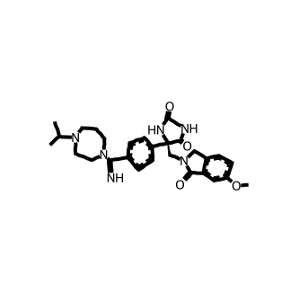 COc1ccc2c(c1)C(=O)N(C[C@@]1(c3ccc(C(=N)N4CCCN(C(C)C)CC4)cc3)NC(=O)NC1=O)C2